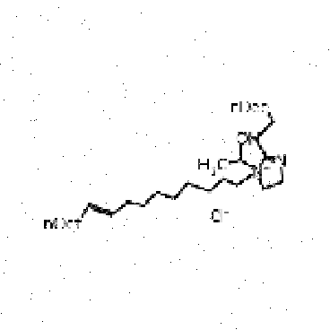 CCCCCCCCC=CCCCCCCCC[N+]1(C(C)O)CCN=C1CCCCCCCCCCCC.[Cl-]